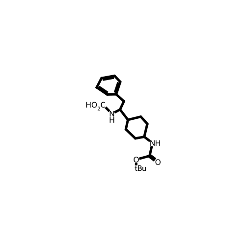 CC(C)(C)OC(=O)NC1CCC(C(Cc2ccccc2)NC(=O)O)CC1